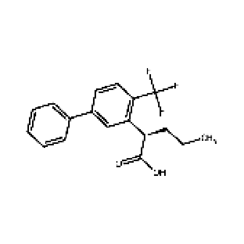 CCC[C@@H](C(=O)O)c1cc(-c2ccccc2)ccc1C(F)(F)F